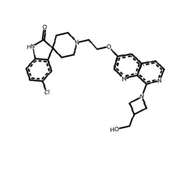 O=C1Nc2ccc(Cl)cc2C12CCN(CCOc1cnc3c(N4CC(CO)C4)nccc3c1)CC2